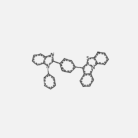 c1ccc(-n2c(-c3ccc(-c4c5ccccc5n5c4sc4ccccc45)cc3)nc3ccccc32)cc1